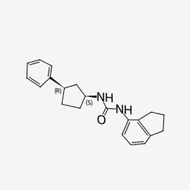 O=C(Nc1cccc2c1CCC2)N[C@H]1CC[C@@H](c2ccccc2)C1